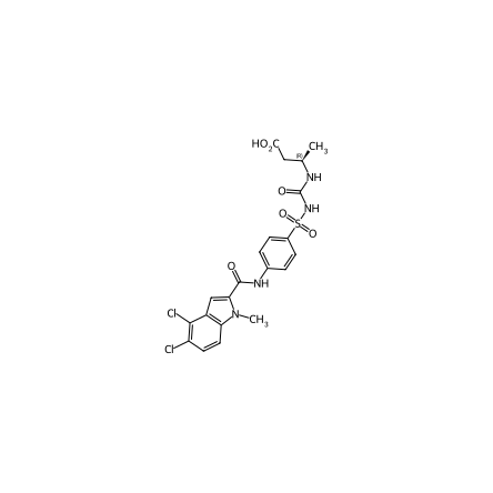 C[C@H](CC(=O)O)NC(=O)NS(=O)(=O)c1ccc(NC(=O)c2cc3c(Cl)c(Cl)ccc3n2C)cc1